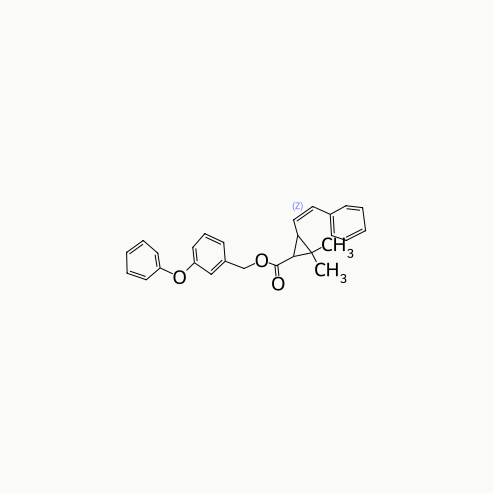 CC1(C)C(/C=C\c2ccccc2)C1C(=O)OCc1cccc(Oc2ccccc2)c1